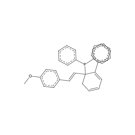 COc1ccc(C=CC2(P(c3ccccc3)c3ccccc3)CC=CC=C2c2ccccc2)cc1